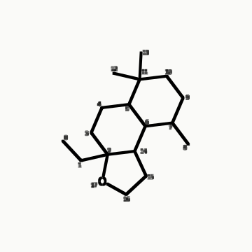 CCC12CCC3C(C(C)CCC3(C)C)C1CCO2